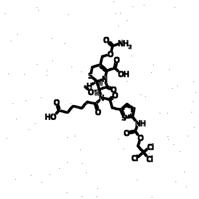 CO[C@@]1(N(C(=O)CCCCC(=O)O)C(=O)Cc2ccc(NC(=O)OCC(Cl)(Cl)Cl)s2)C(=O)N2C(C(=O)O)=C(COC(N)=O)CS[C@H]21